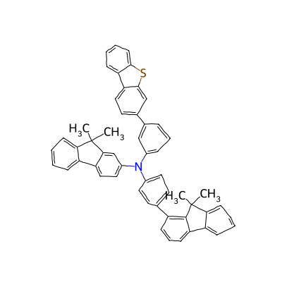 CC1(C)c2ccccc2-c2ccc(N(c3ccc(-c4cccc5c4C(C)(C)c4ccccc4-5)cc3)c3cccc(-c4ccc5c(c4)sc4ccccc45)c3)cc21